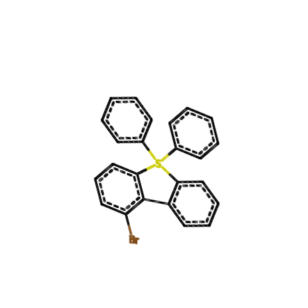 Brc1cccc2c1-c1ccccc1S2(c1ccccc1)c1ccccc1